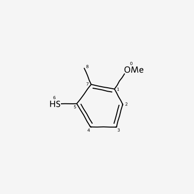 COc1cccc(S)c1C